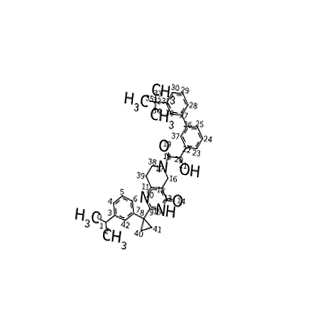 CC(C)c1cccc(C2(c3nc4c(c(=O)[nH]3)CN(C(=O)[C@H](O)c3cccc(-c5cccc(C(C)(C)C)c5)c3)CC4)CC2)c1